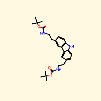 CC(C)(C)OC(=O)NCCc1ccc2[nH]c3ccc(CCNC(=O)OC(C)(C)C)cc3c2c1